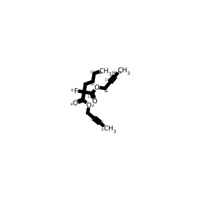 CC#CCOC(=O)C(F)(CCCC)C(=O)OCC#CC